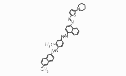 Cc1ccc2cc(N=Nc3ccc(N=Nc4ccc(N=Nc5ccc(N6CCCCC6)s5)c5ccccc45)cc3C)ccc2c1